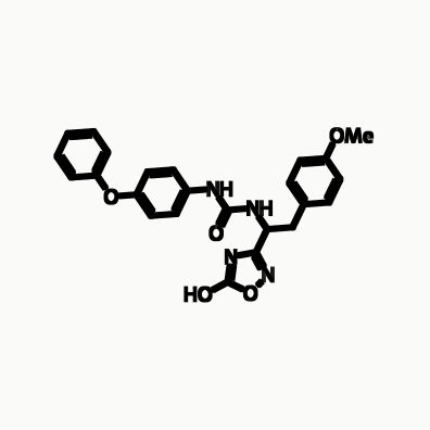 COc1ccc(CC(NC(=O)Nc2ccc(Oc3ccccc3)cc2)c2noc(O)n2)cc1